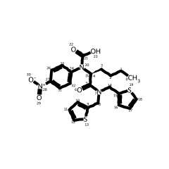 CCCC[C@@H](C(=O)N(Cc1cccs1)Cc1cccs1)N(C(=O)O)c1ccc([N+](=O)[O-])cc1